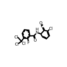 O=C=C1C(Cl)=CC=CC1NC(=O)c1cccc(C(Cl)(Cl)Cl)c1F